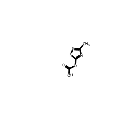 Cc1nsc(OC(=O)O)n1